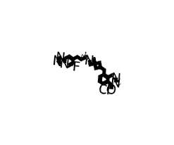 C[C@@H](CCc1cc2nncn2cc1F)N1CC2(CC(Cc3ccc(Cl)c4c(=O)n(C)ncc34)C2)C1